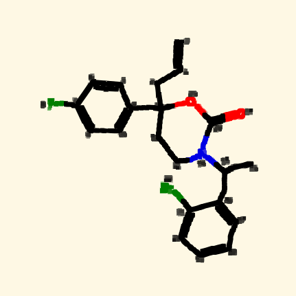 C=CCC1(c2ccc(F)cc2)CCN(C(C)c2ccccc2Br)C(=O)O1